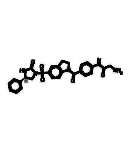 NCC(=O)Nc1ccc(C(=O)N2CCc3cc(S(=O)(=O)N4C[C@H](c5ccccc5)NC4=O)ccc32)cc1